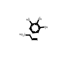 C=CCC(=O)O.Oc1cccc(O)c1O